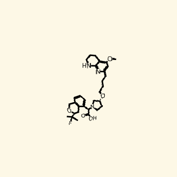 COc1cc(CCCCO[C@@H]2CCN(C(C(=O)O)c3cccc4c3CC(C(C)(C)F)OC4)C2)nc2c1CCCN2